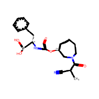 CC(C#N)C(=O)N1CCCC[C@H](OC(=O)N[C@@H](Cc2ccccc2)B(O)O)C1